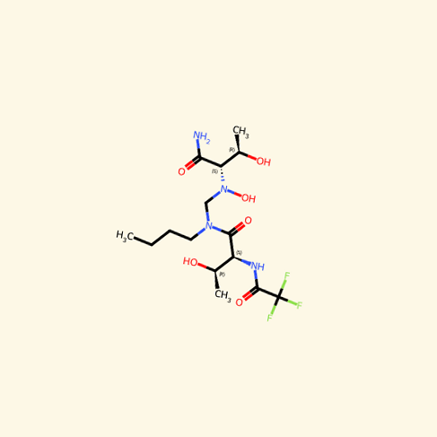 CCCCN(CN(O)[C@H](C(N)=O)[C@@H](C)O)C(=O)[C@@H](NC(=O)C(F)(F)F)[C@@H](C)O